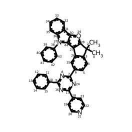 CC1(C)c2ccc(-c3nc(-c4ccccc4)nc(-c4ccncc4)n3)cc2-c2c1oc1c3ccccc3n(-c3ccccc3)c21